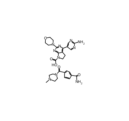 CN1CCN(C(=O)c2ccc(C(N)=O)cc2)CC1.Nc1ncc(-c2nc(N3CCOCC3)nc3c2CCN3C(=O)O)cn1